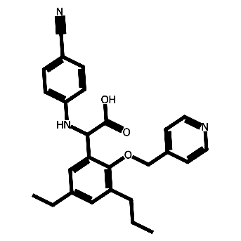 CCCc1cc(CC)cc(C(Nc2ccc(C#N)cc2)C(=O)O)c1OCc1ccncc1